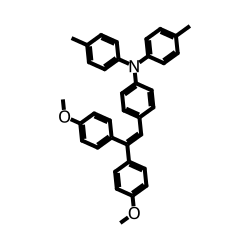 COc1ccc(C(=Cc2ccc(N(c3ccc(C)cc3)c3ccc(C)cc3)cc2)c2ccc(OC)cc2)cc1